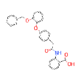 O=C(Cc1ccc(Oc2ccccc2OCc2ccccc2)cc1)Nc1ccccc1C(=O)O